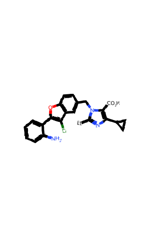 CCc1nc(C2CC2)c(C(=O)O)n1Cc1ccc2oc(-c3ccccc3N)c(Cl)c2c1